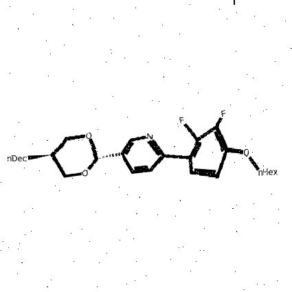 CCCCCCCCCC[C@H]1CO[C@H](c2ccc(-c3ccc(OCCCCCC)c(F)c3F)nc2)OC1